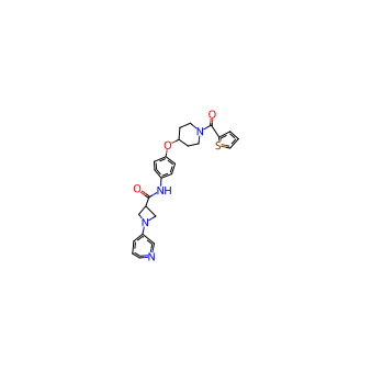 O=C(Nc1ccc(OC2CCN(C(=O)c3cccs3)CC2)cc1)C1CN(c2cccnc2)C1